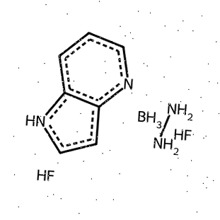 B.F.F.NN.c1cnc2cc[nH]c2c1